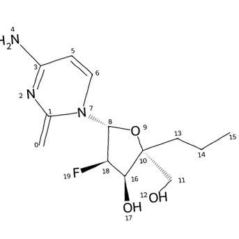 C=C1N=C(N)C=CN1[C@@H]1O[C@@](CO)(CCC)[C@@H](O)[C@H]1F